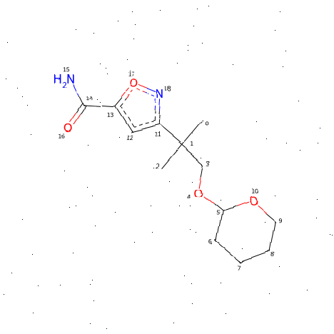 CC(C)(COC1CCCCO1)c1cc(C(N)=O)on1